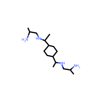 CC(N)CNC(C)C1CCC(C(C)NCC(C)N)CC1